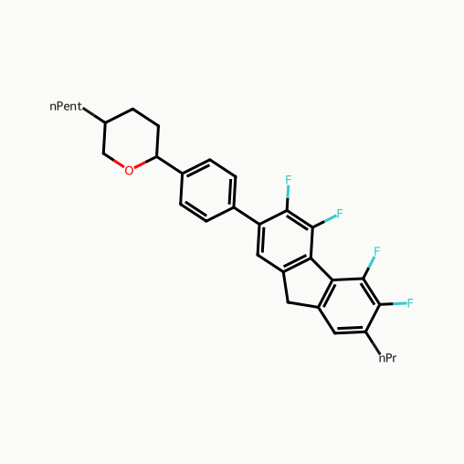 CCCCCC1CCC(c2ccc(-c3cc4c(c(F)c3F)-c3c(cc(CCC)c(F)c3F)C4)cc2)OC1